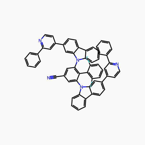 N#Cc1cc(-n2c3ccccc3c3ccc(-c4ccnc(-c5ccccc5)c4)cc32)c(-c2c(F)cccc2F)c(-n2c3ccccc3c3ccc(-c4ccnc(-c5ccccc5)c4)cc32)c1